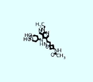 CCn1ncc2c(NC3CCS(O)(O)CC3)c(C3=NOC4(C3)CC(NC(C)=O)C4)cnc21